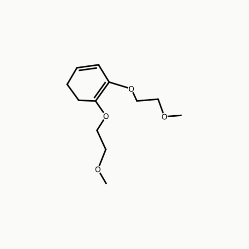 COCCOC1=C(OCCOC)CCC=C1